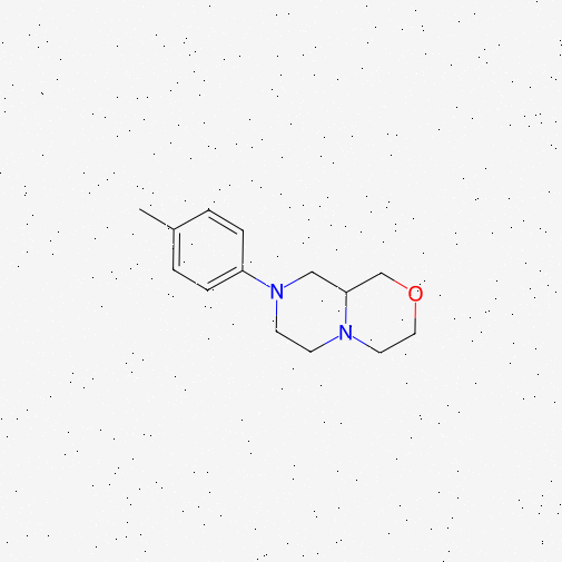 Cc1ccc(N2CCN3CCOCC3C2)cc1